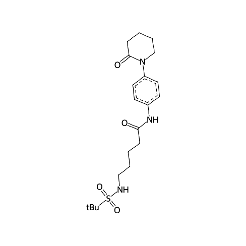 CC(C)(C)S(=O)(=O)NCCCCC(=O)Nc1ccc(N2CCCCC2=O)cc1